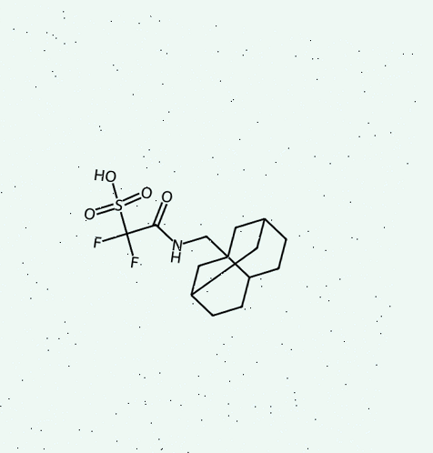 O=C(NCC12CC3CCC1CCC(C3)C2)C(F)(F)S(=O)(=O)O